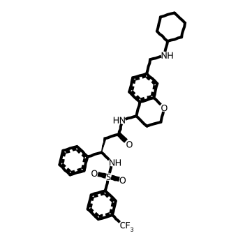 O=C(C[C@@H](NS(=O)(=O)c1cccc(C(F)(F)F)c1)c1ccccc1)NC1CCOc2cc(CNC3CCCCC3)ccc21